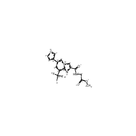 COC(=O)CNC(=O)c1cn2cc(-c3ccoc3)cc(C(F)(F)F)c2n1